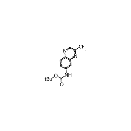 CC(C)(C)OC(=O)Nc1ccc2ncc(C(F)(F)F)nc2c1